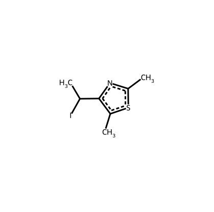 Cc1nc(C(C)I)c(C)s1